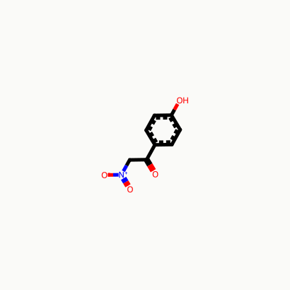 O=C(C[N+](=O)[O-])c1ccc(O)cc1